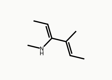 C/C=C(NC)/C(C)=C/C